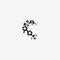 Cc1ccc(NS(=O)(=O)c2ccc(Cl)s2)cc1-c1ccc(C(=O)O)cc1